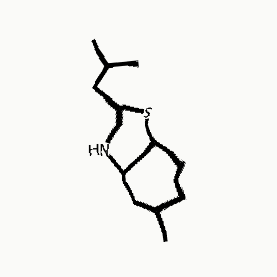 CC(C)CC1NC2CC(C)CCC2S1